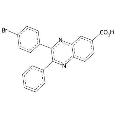 O=C(O)c1ccc2nc(-c3ccccc3)c(-c3ccc(Br)cc3)nc2c1